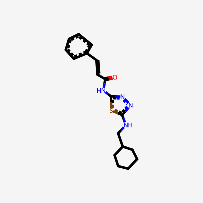 O=C(C=Cc1ccccc1)Nc1nnc(NCC2CCCCC2)s1